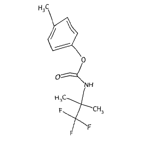 Cc1ccc(OC(=O)NC(C)(C)C(F)(F)F)cc1